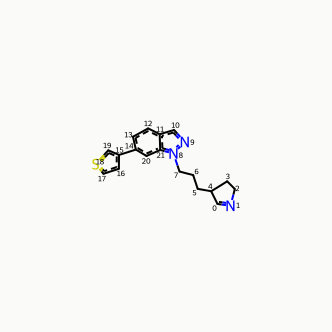 C1=NCCC1CCCn1ncc2ccc(-c3ccsc3)cc21